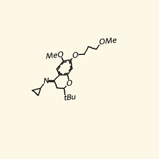 COCCCOc1cc2c(cc1OC)C(=NC1CC1)CC(C(C)(C)C)O2